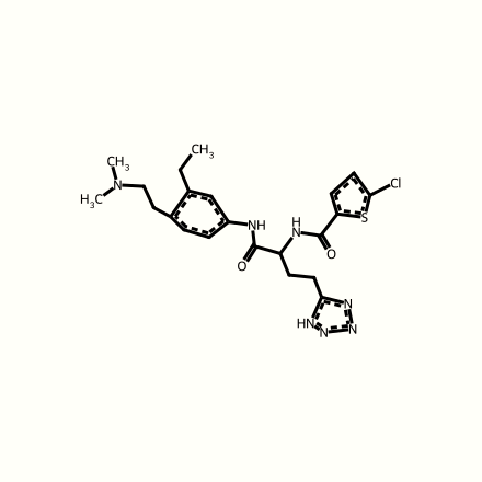 CCc1cc(NC(=O)C(CCc2nnn[nH]2)NC(=O)c2ccc(Cl)s2)ccc1CCN(C)C